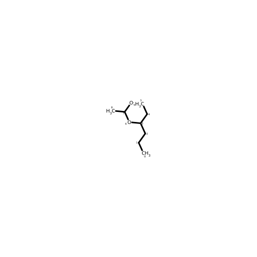 CCCC(CC)OC(C)[O]